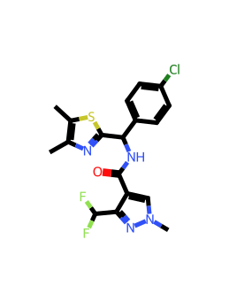 Cc1nc(C(NC(=O)c2cn(C)nc2C(F)F)c2ccc(Cl)cc2)sc1C